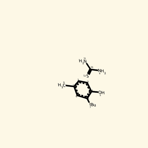 Cc1ccc(O)c(C(C)(C)C)c1.NC(N)=S